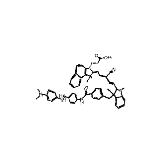 CN(C)c1ccc(NNc2ccc(NC(=O)c3ccc(CC4(C)c5ccccc5N(C)C4/C=C/C(C#N)=C/C=C4/N(CCC(=O)O)c5ccc6ccccc6c5C4(C)C)cc3)cc2)cc1